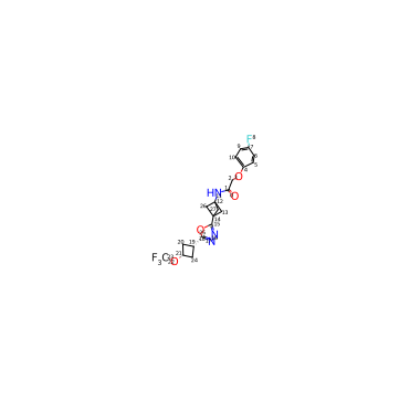 O=C(COc1ccc(F)cc1)NC12CC(c3nnc([C@H]4C[C@@H](OC(F)(F)F)C4)o3)(C1)C2